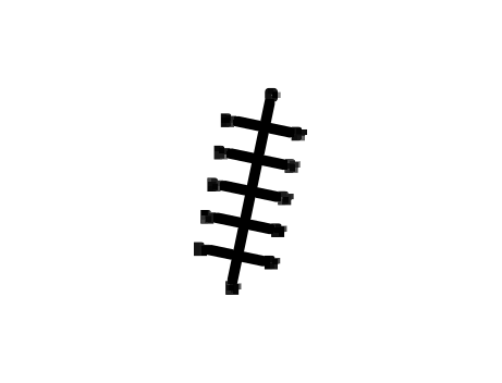 [O]C(Br)(Br)C(Br)(Br)C(Br)(Br)C(Br)(Br)C(Br)(Br)Br